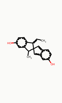 C/C=C1/c2ccc(O)cc2C(C)C12C=c1ccc(O)cc1=C2